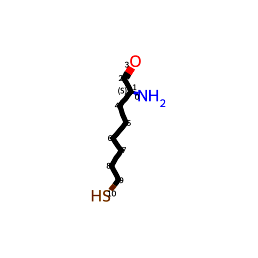 N[C@H]([C]=O)CCCCCCS